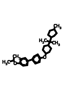 CC1CCC(C(C)(C)C2CCC(Oc3ccc(-c4ccc(OC(C)C)cc4)cc3)CC2)CC1